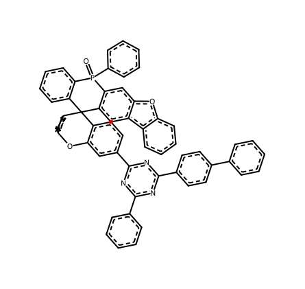 O=P1(c2ccccc2)c2ccccc2C2(c3ccccc3Oc3cc(-c4nc(-c5ccccc5)nc(-c5ccc(-c6ccccc6)cc5)n4)ccc32)c2cc3c(cc21)oc1ccccc13